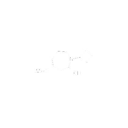 CO[C@H]1CC(C)N(C2CCC2)CCO1